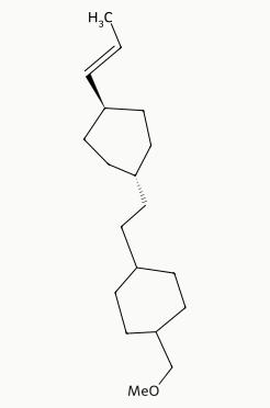 C/C=C/[C@H]1CC[C@H](CCC2CCC(COC)CC2)CC1